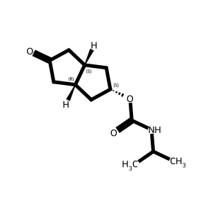 CC(C)NC(=O)O[C@H]1C[C@H]2CC(=O)C[C@H]2C1